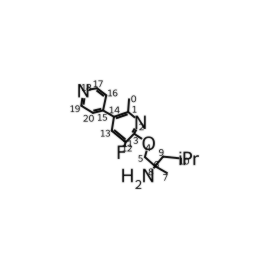 Cc1nc(OCC(C)(N)CC(C)C)c(F)cc1-c1ccncc1